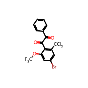 O=C(C(=O)c1c(OC(F)(F)F)cc(Br)cc1C(Cl)(Cl)Cl)c1ccccc1